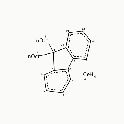 CCCCCCCCC1(CCCCCCCC)c2ccccc2-c2ccccc21.[GeH4]